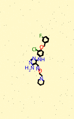 Nc1ncnc(Nc2ccc(OCc3cccc(F)c3)c(Cl)c2)c1/C=N/OCCN1CCCCC1